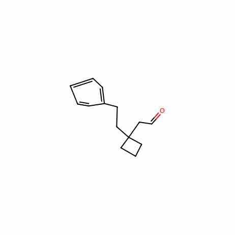 O=CCC1(CCc2ccccc2)CCC1